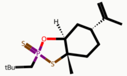 C=C(C)[C@@H]1CC[C@]2(C)SP(=S)(CC(C)(C)C)O[C@H]2C1